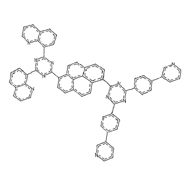 c1cncc(-c2ccc(-c3nc(-c4ccc(-c5cccnc5)cc4)nc(-c4ccc5ccc6c(-c7nc(-c8cccc9cccnc89)nc(-c8cccc9cccnc89)n7)ccc7ccc4c5c76)n3)cc2)c1